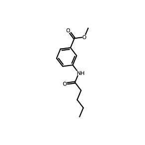 CCCCC(=O)Nc1cccc(C(=O)OC)c1